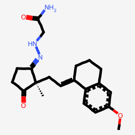 COc1ccc2c(c1)CCC/C2=C\C[C@@]1(C)C(=O)CC/C1=N\NCC(N)=O